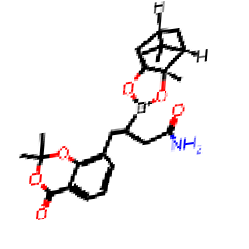 CC1(C)OC(=O)c2cccc(CC(CC(N)=O)B3OC4C[C@@H]5C[C@@H](C5(C)C)[C@]4(C)O3)c2O1